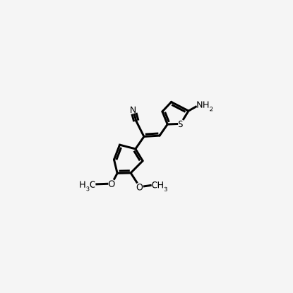 COc1ccc(C(C#N)=Cc2ccc(N)s2)cc1OC